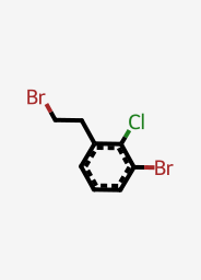 Clc1c(Br)cccc1CCBr